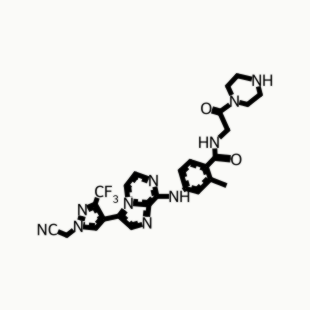 Cc1cc(Nc2nccn3c(-c4cn(CC#N)nc4C(F)(F)F)cnc23)ccc1C(=O)NCC(=O)N1CCNCC1